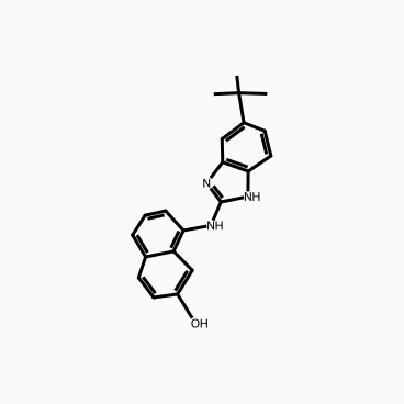 CC(C)(C)c1ccc2[nH]c(Nc3cccc4ccc(O)cc34)nc2c1